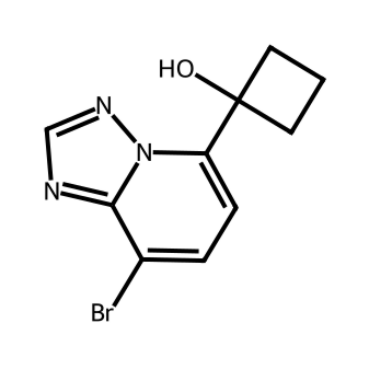 OC1(c2ccc(Br)c3ncnn23)CCC1